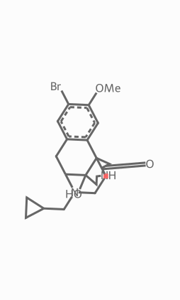 COc1cc2c(cc1Br)CC1N(CC3CC3)CCC23CC(=O)NCCC13O